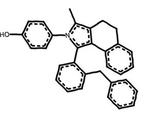 Cc1c2c(c(-c3ccccc3Cc3ccccc3)n1-c1ccc(O)cc1)-c1ccccc1CC2